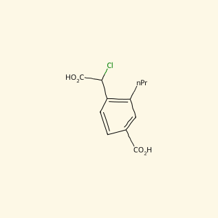 CCCc1cc(C(=O)O)ccc1C(Cl)C(=O)O